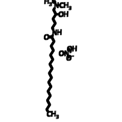 CCCCCCCCCCCCCCCCCC(=O)NCCCC(O)CN(C)C.O=[N+]([O-])O